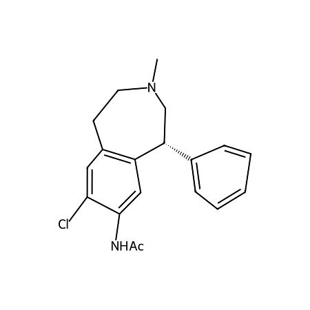 CC(=O)Nc1cc2c(cc1Cl)CCN(C)C[C@@H]2c1ccccc1